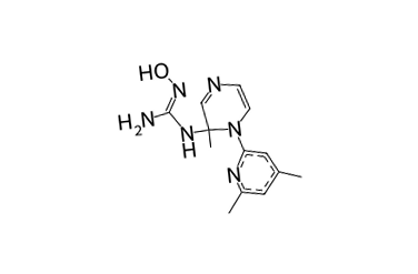 Cc1cc(C)nc(N2C=CN=CC2(C)NC(N)=NO)c1